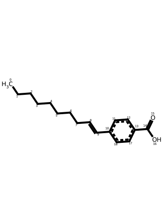 CCCCCCCCC=Cc1ccc(C(=O)O)cc1